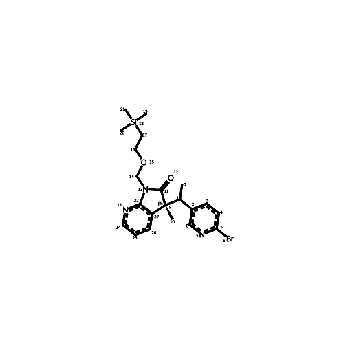 CC(c1ccc(Br)nc1)[C@@]1(C)C(=O)N(COCC[Si](C)(C)C)c2ncccc21